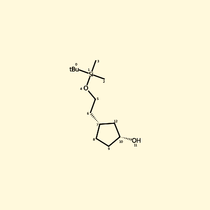 CC(C)(C)[Si](C)(C)OCC[C@H]1CC[C@@H](O)C1